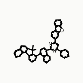 CC1(C)c2ccc3ccccc3c2-c2cccc(-c3ccc(-c4nc(-c5ccccc5)cc(-c5ccc6c(c5)oc5ccccc56)n4)c4ccccc34)c21